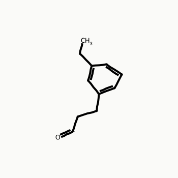 CCc1cccc(CC[C]=O)c1